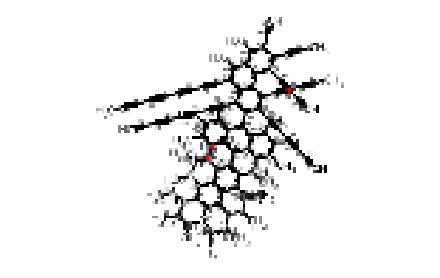 BBB(B)B(B(B)B)c1c(B(B(B)B)B(B)B)c(B(BB)B(B)B)c(B(B)B(B)B)c2c(B(B)BB)c(-c3c4c(C)c(C)c(C)c(C)c4c(-c4c(C#CC#CC#C)c(C#CC#CC)c5c(c4C#CC#CC#CC#C)c(C#CC#CC#CC#CC)c(C)c4c(C)c(C#C)c(C#CC)c(C#CC#C)c45)c4c(C)c(C)c(C)c(C)c34)c(BB)c(B)c12